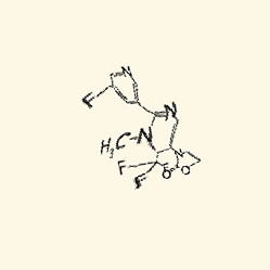 CN1C(c2cncc(F)c2)=NC=C(N2CCOC2=O)C1C(F)(F)F